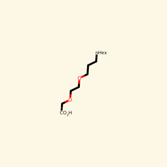 CCCCCCCCCOCCOCC(=O)O